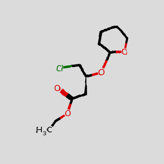 CCOC(=O)C[C@@H](CCl)OC1CCCCO1